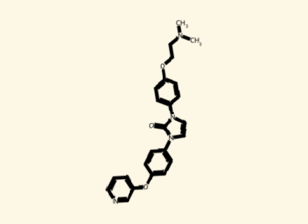 CN(C)CCOc1ccc(-n2ccn(-c3ccc(Oc4cccnc4)cc3)c2=O)cc1